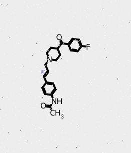 CC(=O)Nc1ccc(/C=C/CN2CCC(C(=O)c3ccc(F)cc3)CC2)cc1